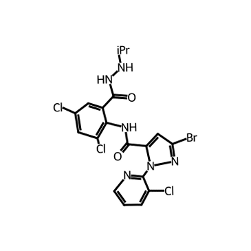 CC(C)NNC(=O)c1cc(Cl)cc(Cl)c1NC(=O)c1cc(Br)nn1-c1ncccc1Cl